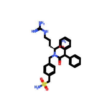 N=C(N)NCCC[C@H](C(N)=O)N(Cc1ccc(CS(N)(=O)=O)cc1)C(=O)C(c1ccccc1)c1ccccc1